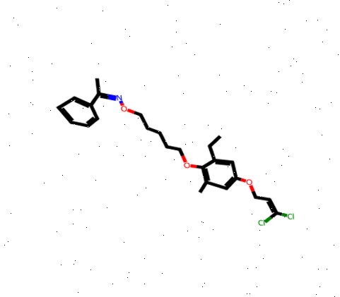 CCc1cc(OCC=C(Cl)Cl)cc(C)c1OCCCCCON=C(C)c1ccccc1